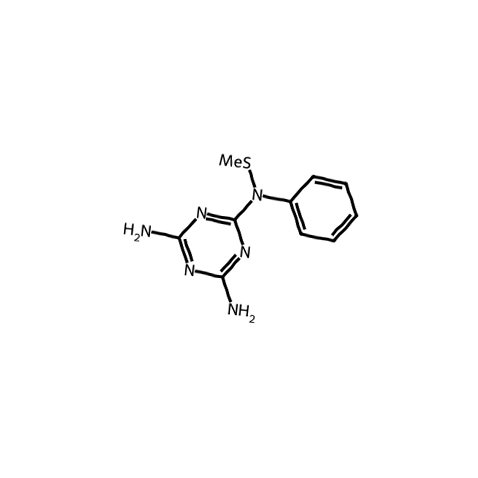 CSN(c1ccccc1)c1nc(N)nc(N)n1